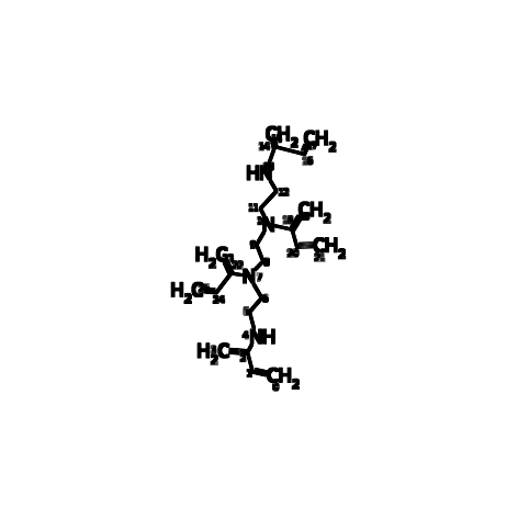 C=CC(=C)NCCN(CCN(CCNC(=C)C=C)C(=C)C=C)C(=C)C=C